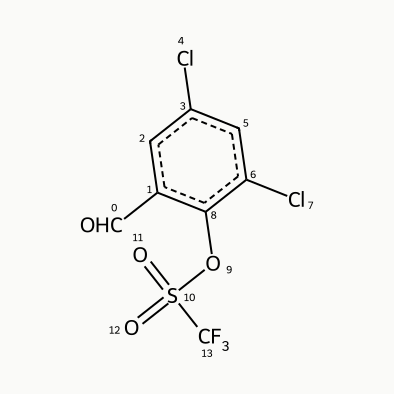 O=Cc1cc(Cl)cc(Cl)c1OS(=O)(=O)C(F)(F)F